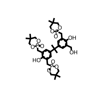 CC1(C)COP(=O)(Cc2cc(C(C)(C)c3cc(CP4(=O)OCC(C)(C)CO4)c(O)c(CP4(=O)OCC(C)(C)CO4)c3)cc(CO)c2O)OC1